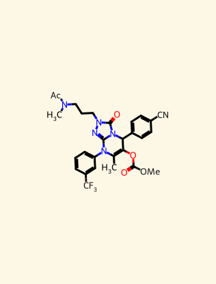 COC(=O)OC1=C(C)N(c2cccc(C(F)(F)F)c2)c2nn(CCCN(C)C(C)=O)c(=O)n2C1c1ccc(C#N)cc1